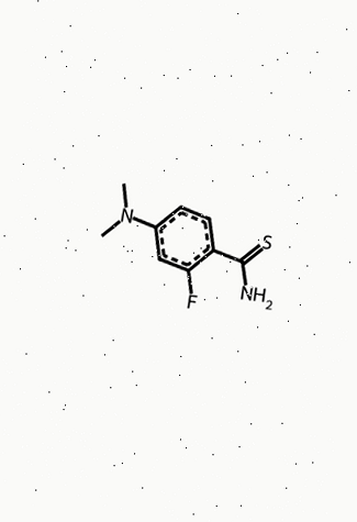 CN(C)c1ccc(C(N)=S)c(F)c1